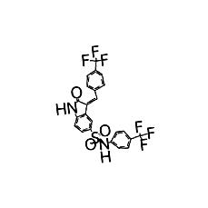 O=C1Nc2ccc(S(=O)(=O)Nc3ccc(C(F)(F)F)cc3)cc2C1=Cc1ccc(C(F)(F)F)cc1